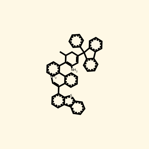 CC1CC(C2(c3ccccc3)c3ccccc3-c3ccccc32)=CC(N)=C1c1ccccc1-c1ccccc1/C(=C\N)c1cccc2c1sc1ccccc12